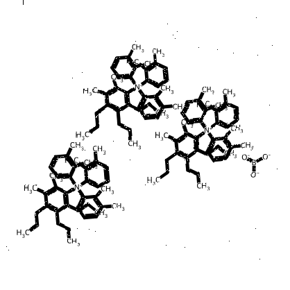 CCCc1c(C)c(C)c([N+](c2cccc(C)c2C)(c2cccc(C)c2C)c2cccc(C)c2C)c(CCC)c1CCC.CCCc1c(C)c(C)c([N+](c2cccc(C)c2C)(c2cccc(C)c2C)c2cccc(C)c2C)c(CCC)c1CCC.CCCc1c(C)c(C)c([N+](c2cccc(C)c2C)(c2cccc(C)c2C)c2cccc(C)c2C)c(CCC)c1CCC.[O-]B([O-])[O-]